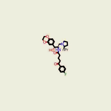 CCCC1CCCN1C[C@@H](NC(=O)CCCC(=O)c1ccc(F)cc1)[C@H](O)c1ccc2c(c1)OCCO2